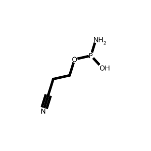 N#CCCOP(N)O